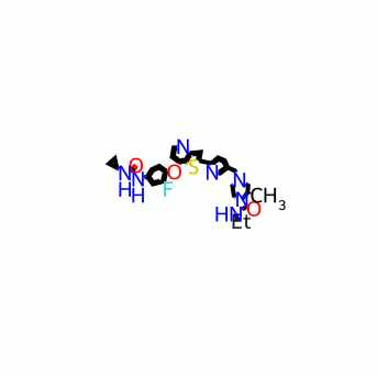 CCNC(=O)N1CCN(Cc2ccc(-c3cc4nccc(Oc5ccc(NC(=O)NC6CC6)cc5F)c4s3)nc2)C[C@@H]1C